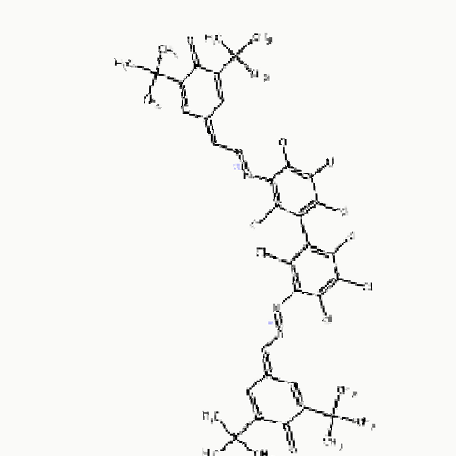 CC(C)(C)C1=CC(=C/N=N/c2c(Cl)c(Cl)c(Cl)c(-c3c(Cl)c(Cl)c(Cl)c(/N=N/C=C4C=C(C(C)(C)C)C(=O)C(C(C)(C)C)=C4)c3Cl)c2Cl)C=C(C(C)(C)C)C1=O